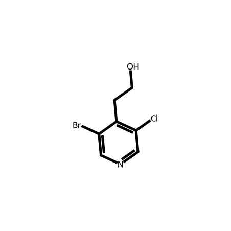 OCCc1c(Cl)cncc1Br